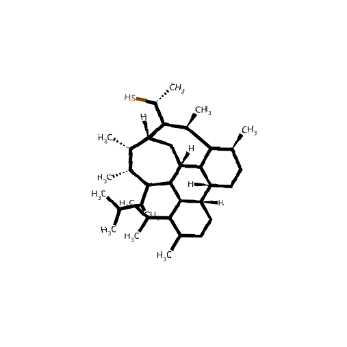 CC(C)C(C)C1C2C3C(C(C)C)C(C)CC[C@H]3[C@H]3CC[C@H](C)C4C3[C@H]2C[C@@H](C([C@@H](C)S)[C@H]4C)[C@@H](C)[C@H]1C